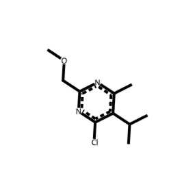 COCc1nc(C)c(C(C)C)c(Cl)n1